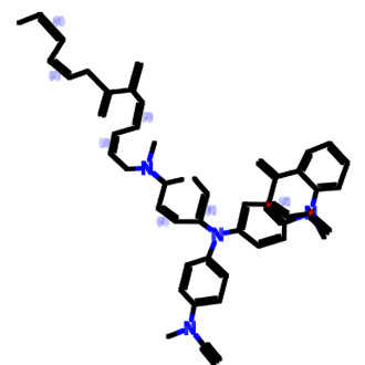 C#CN(C)c1ccc(N(C(/C=C\C(C)N(C)C/C=C\C=C/C(=C)C(=C)C/C=C\C=C/C)=C/C)c2ccc(N(C)c3ccccc3C(=C)/C=C\C=C)cc2)cc1